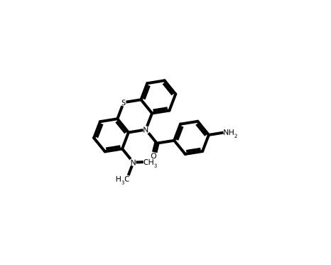 CN(C)c1cccc2c1N(C(=O)c1ccc(N)cc1)c1ccccc1S2